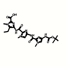 CCc1c(NC(=O)c2nc(NC(=O)c3nc(NC(=O)OC(C)(C)C)cn3C)cn2C)nc(C(=O)O)n1C